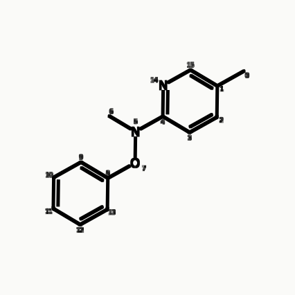 Cc1ccc(N(C)Oc2ccccc2)nc1